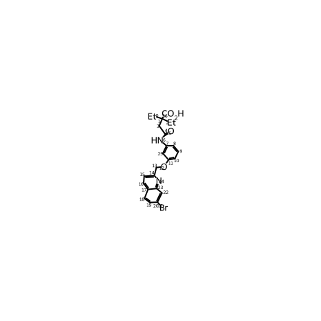 CCC(CC)(CC(=O)Nc1cccc(OCc2ccc3ccc(Br)cc3n2)c1)C(=O)O